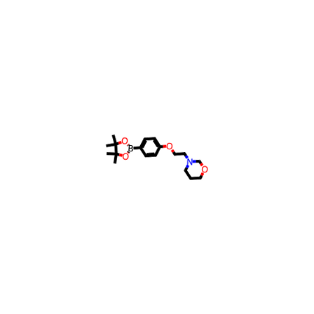 CC1(C)OB(c2ccc(OCCN3CCCOC3)cc2)OC1(C)C